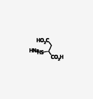 O=C(O)CC(S)C(=O)O.[NaH]